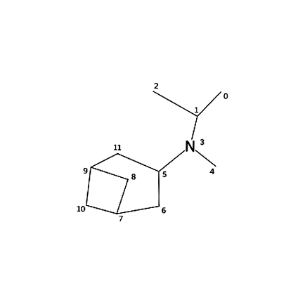 CC(C)N(C)C1CC2CC(C2)C1